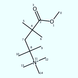 COC(=O)C(C)(C)CC(C)(C)[N+](C)(C)C